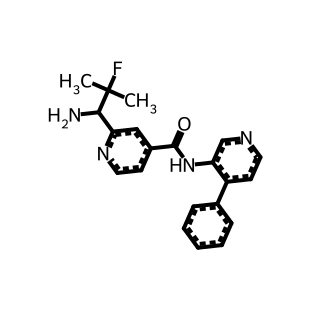 CC(C)(F)C(N)c1cc(C(=O)Nc2cnccc2-c2ccccc2)ccn1